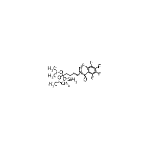 CC(C)OC(CCCCNC(=O)c1c(F)c(F)c(F)c(F)c1F)(O[SiH3])OC(C)C